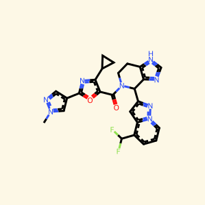 Cn1cc(-c2nc(C3CC3)c(C(=O)N3CCc4[nH]cnc4C3c3cc4c(C(F)F)cccn4n3)o2)cn1